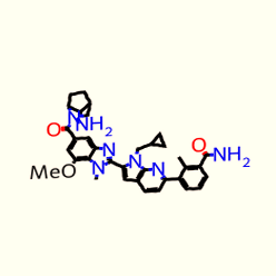 COc1cc(C(=O)N2CC3CCC2C3N)cc2nc(-c3cc4ccc(-c5cccc(C(N)=O)c5C)nc4n3CC3CC3)n(C)c12